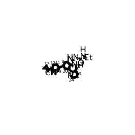 CCNC(=O)Nc1nc2cc(-c3ccc(C4(C#N)CC4)nc3)cc(-c3ncccc3F)c2[nH]1